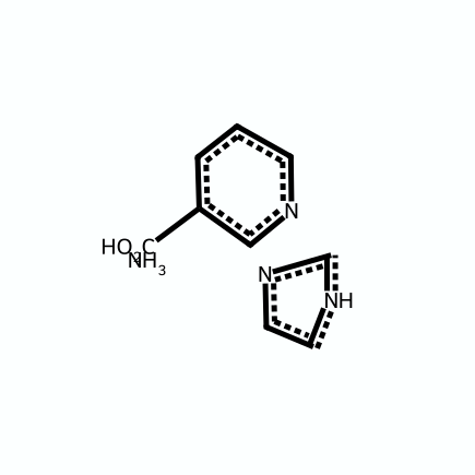 N.O=C(O)c1cccnc1.c1c[nH]cn1